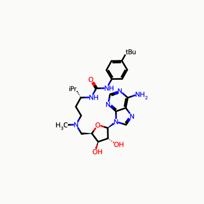 CC(C)[C@@H](CCN(C)C[C@H]1O[C@@H](n2cnc3c(N)ncnc32)[C@H](O)[C@H]1O)NC(=O)Nc1ccc(C(C)(C)C)cc1